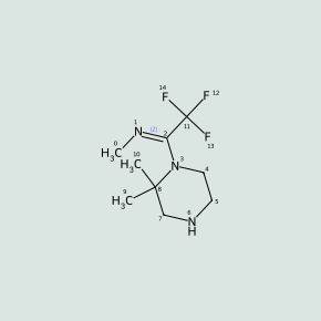 C/N=C(\N1CCNCC1(C)C)C(F)(F)F